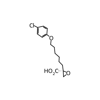 O=C(O)[C@@]1(CCCCCCOc2ccc(Cl)cc2)CO1